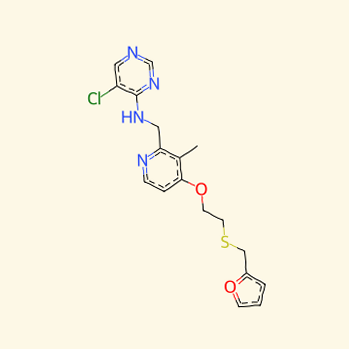 Cc1c(OCCSCc2ccco2)ccnc1CNc1ncncc1Cl